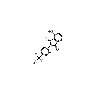 Cc1cc(C(F)(F)C(F)(F)F)ccc1N1C(=O)c2cccc(O)c2C1=O